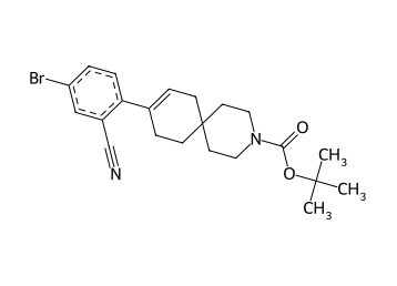 CC(C)(C)OC(=O)N1CCC2(CC=C(c3ccc(Br)cc3C#N)CC2)CC1